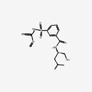 C=NC(=N)NS(=O)(=O)c1cccc(C(=O)N[C@@H](CO)CC(C)C)c1